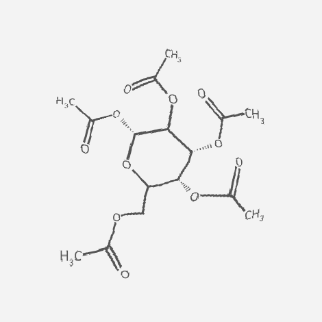 CC(=O)OCC1O[C@H](OC(C)=O)C(OC(C)=O)[C@H](OC(C)=O)[C@@H]1OC(C)=O